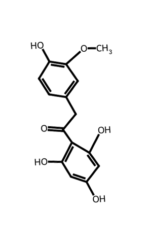 COc1cc(CC(=O)c2c(O)cc(O)cc2O)ccc1O